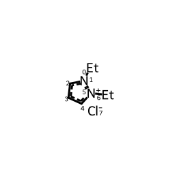 CCn1ccc[n+]1CC.[Cl-]